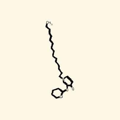 CCCCCCCCCCCCCCCCn1ccc(=O)c(OC2CCCCO2)c1